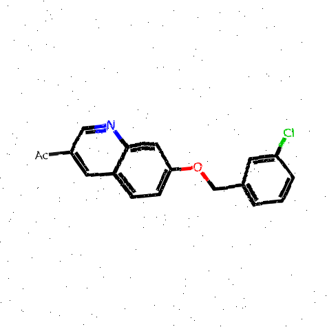 CC(=O)c1cnc2cc(OCc3cccc(Cl)c3)ccc2c1